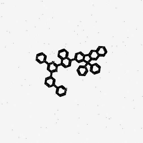 c1ccc(-c2cc(-c3cccc(-c4cccnc4)c3)nc(-c3ccc(-c4ccc5c(c4)C(c4ccccc4)(c4ccccc4)c4cc6ccccc6cc4-5)c4ccccc34)n2)cc1